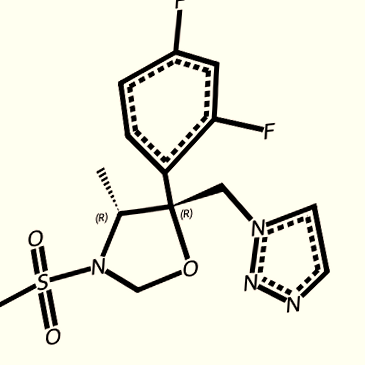 C[C@H]1N(S(C)(=O)=O)CO[C@@]1(Cn1ccnn1)c1ccc(F)cc1F